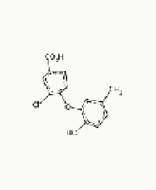 Cc1ccc(O)c(Oc2ccc(C(=O)O)cc2Cl)c1